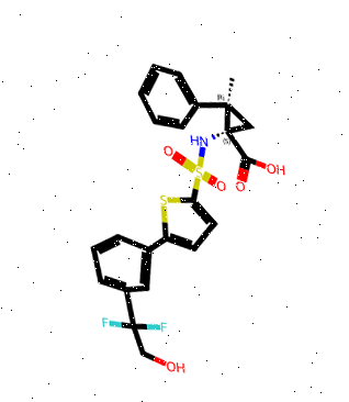 C[C@]1(c2ccccc2)C[C@@]1(NS(=O)(=O)c1ccc(-c2cccc(C(F)(F)CO)c2)s1)C(=O)O